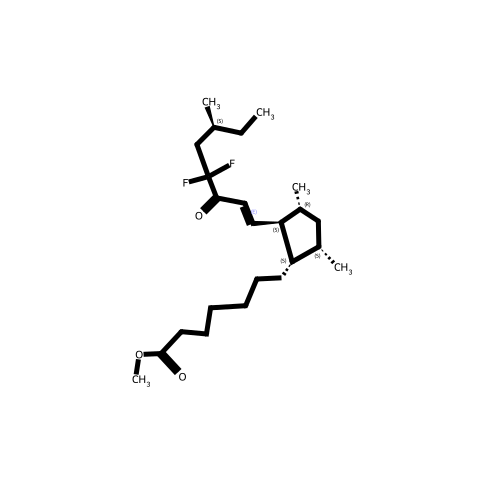 CC[C@H](C)CC(F)(F)C(=O)/C=C/[C@@H]1[C@@H](CCCCCCC(=O)OC)[C@@H](C)C[C@H]1C